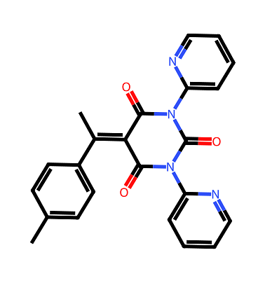 CC(=C1C(=O)N(c2ccccn2)C(=O)N(c2ccccn2)C1=O)c1ccc(C)cc1